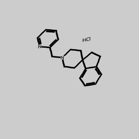 Cl.c1ccc(CN2CCC3(CCc4ccccc43)CC2)nc1